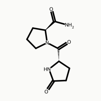 NC(=O)[C@@H]1CCCN1C(=O)[C@@H]1CCC(=O)N1